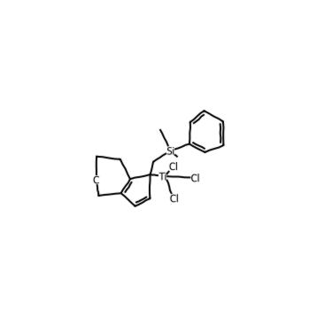 C[Si](C)(C[C]1([Ti]([Cl])([Cl])[Cl])C=CC2=C1CCCC2)c1ccccc1